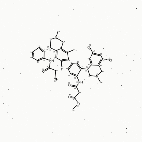 CN1Cc2c(Cl)cc(Cl)cc2[C@H](c2ccccc2NC(=O)CO)C1.COC(=O)CC(=O)Nc1ccccc1[C@@H]1CN(C)Cc2c(Cl)cc(Cl)cc21